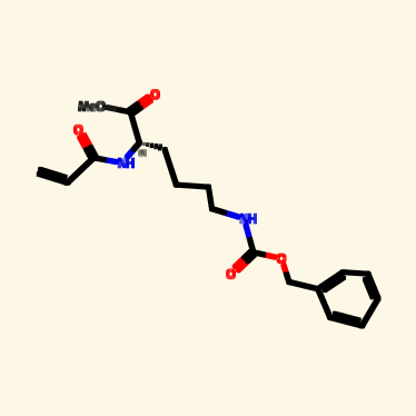 C=CC(=O)N[C@@H](CCCCNC(=O)OCc1ccccc1)C(=O)OC